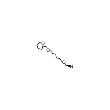 N#CCOCCCCCCOCC1CCCCO1